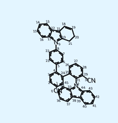 N#Cc1ccc(-c2ccc(-n3c4c(c5ccccc53)C=CCC4)cc2)c(-c2cccc(C#N)c2-n2c3ccccc3c3ccccc32)c1